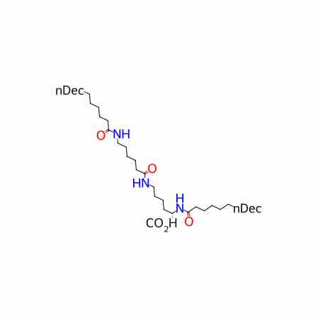 CCCCCCCCCCCCCCCC(=O)NCCCCCC(=O)NCCCC[C@H](NC(=O)CCCCCCCCCCCCCCC)C(=O)O